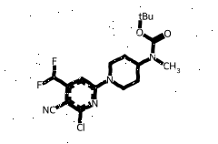 CN(C(=O)OC(C)(C)C)C1CCN(c2cc(C(F)F)c(C#N)c(Cl)n2)CC1